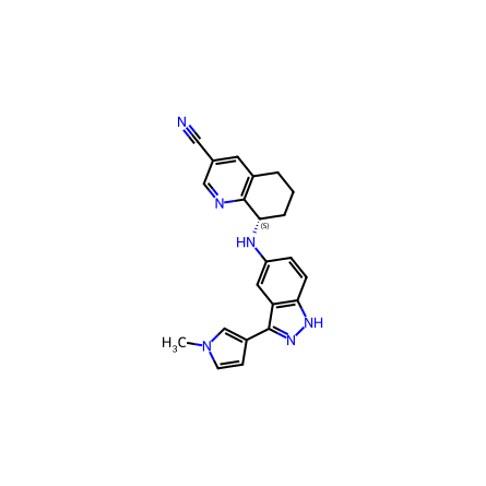 Cn1ccc(-c2n[nH]c3ccc(N[C@H]4CCCc5cc(C#N)cnc54)cc23)c1